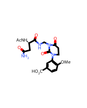 COc1ccc(C(=O)O)cc1N1CCC(=O)N(CNC(=O)[C@H](CC(N)=O)NC(C)=O)C1=O